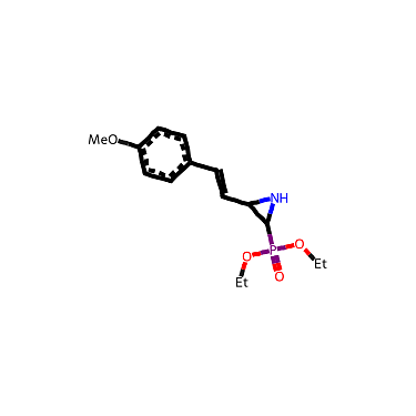 CCOP(=O)(OCC)C1NC1/C=C/c1ccc(OC)cc1